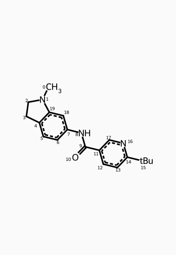 CN1CCc2ccc(NC(=O)c3ccc(C(C)(C)C)nc3)cc21